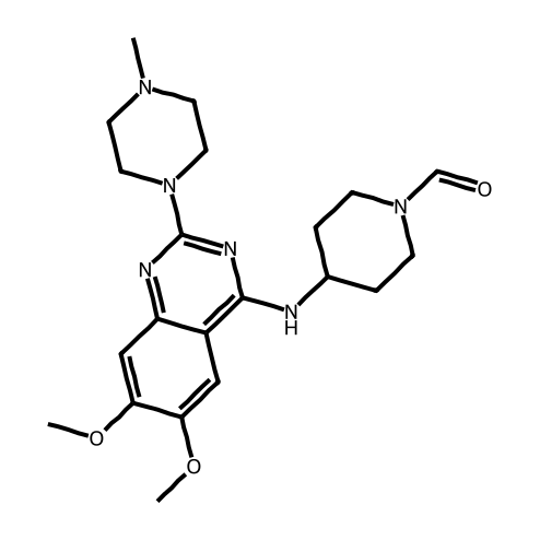 COc1cc2nc(N3CCN(C)CC3)nc(NC3CCN(C=O)CC3)c2cc1OC